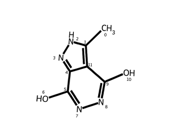 Cc1[nH]nc2c(O)nnc(O)c12